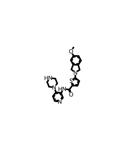 COc1ccc2c(c1)CN(c1ccc(C(=O)Nc3cnccc3N3CCNCC3)s1)C2